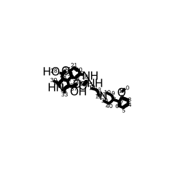 COc1ccccc1C1CCN(CCCNC(=O)Nc2cccc(C3C(C(=O)O)=C(C)NC(C)=C3C(=O)O)c2)CC1